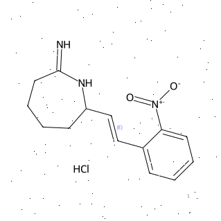 Cl.N=C1CCCCC(/C=C/c2ccccc2[N+](=O)[O-])N1